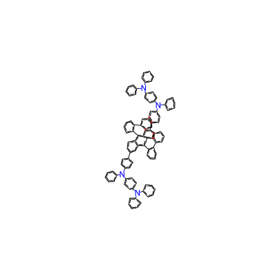 c1ccc(-c2ccccc2-c2c3ccc(-c4ccc(N(c5ccccc5)c5ccc(N(c6ccccc6)c6ccccc6)cc5)cc4)cc3c(-c3ccccc3-c3ccccc3)c3ccc(-c4ccc(N(c5ccccc5)c5ccc(N(c6ccccc6)c6ccccc6)cc5)cc4)cc23)cc1